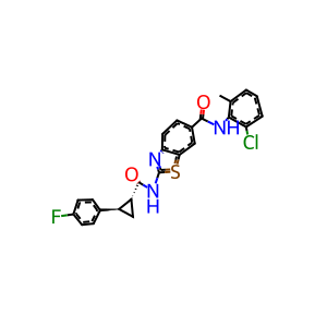 Cc1cccc(Cl)c1NC(=O)c1ccc2nc(NC(=O)[C@@H]3C[C@H]3c3ccc(F)cc3)sc2c1